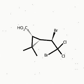 CC1(C)[C@@H]([C@@H](Br)C(Cl)(Cl)Br)[C@H]1C(=O)O